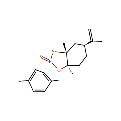 C=C(C)[C@H]1CC[C@@]2(C)O[P@@](=S)(c3cc(C)ccc3C)S[C@@H]2C1